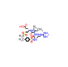 CCC(C)[C@H](NC(=O)[C@H](CCCNC(=N)N)NS(=O)(=O)c1ccc(C)cc1)C(=O)N[C@H](/C=C/S(C)(=O)=O)CCC(=O)O